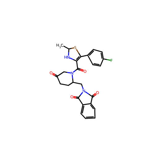 CC1NC(C(=O)N2CC(=O)CCC2CN2C(=O)c3ccccc3C2=O)=C(c2ccc(F)cc2)S1